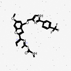 C/C=C(\N=C(/C)SC(=O)NC)c1cc2c(OCc3c[nH]c(-c4ccc(C(F)(F)F)cc4)n3)cc(OC)cc2o1